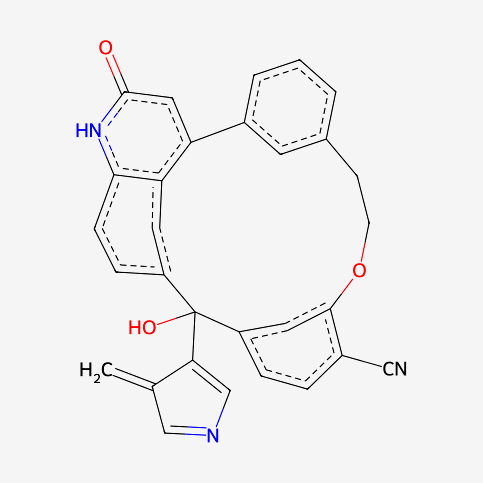 C=C1C=NC=C1C1(O)c2ccc(C#N)c(c2)OCCc2cccc(c2)-c2cc(=O)[nH]c3ccc1cc23